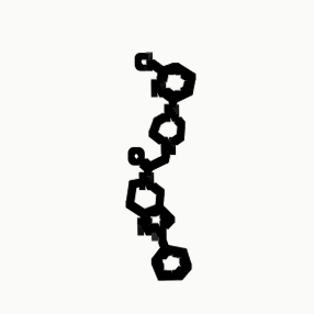 O=C(CN1CCN(c2cccc(Cl)n2)CC1)N1CCc2nn(-c3ccccc3)cc2C1